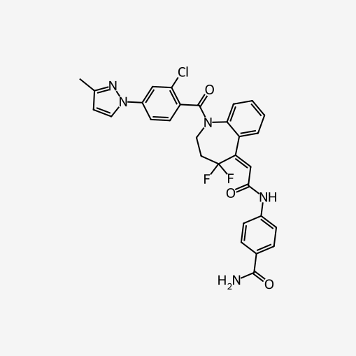 Cc1ccn(-c2ccc(C(=O)N3CCC(F)(F)C(=CC(=O)Nc4ccc(C(N)=O)cc4)c4ccccc43)c(Cl)c2)n1